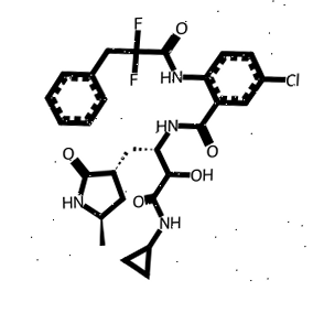 C[C@@H]1C[C@@H](C[C@H](NC(=O)c2cc(Cl)ccc2NC(=O)C(F)(F)Cc2ccccc2)C(O)C(=O)NC2CC2)C(=O)N1